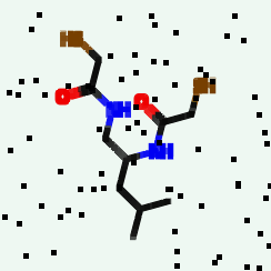 CC(C)CC(CNC(=O)CS)NC(=O)CS